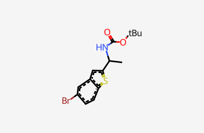 CC(NC(=O)OC(C)(C)C)c1cc2cc(Br)ccc2s1